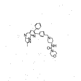 CC1=NN2c3nc(-c4ccc(CN5CCC(NC(=O)N6CCOCC6)CC5)cc4)c(-c4ccccc4)cc3C=NC2C1